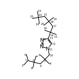 CC(C)C(C)(C)CC(C)(C)Cn1cc(C(C)(C)CC(C)(C)CC(C)(C)C)nn1